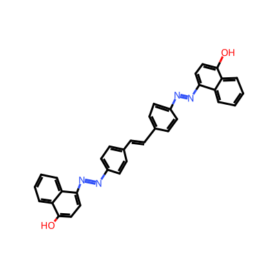 Oc1ccc(N=Nc2ccc(C=Cc3ccc(N=Nc4ccc(O)c5ccccc45)cc3)cc2)c2ccccc12